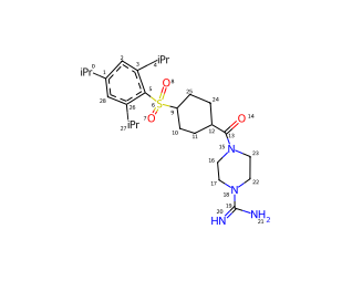 CC(C)c1cc(C(C)C)c(S(=O)(=O)C2CCC(C(=O)N3CCN(C(=N)N)CC3)CC2)c(C(C)C)c1